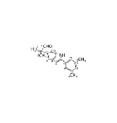 Cc1cc(C)cc(-c2cc3cc(C(C)(C)C=O)sc3[nH]2)c1